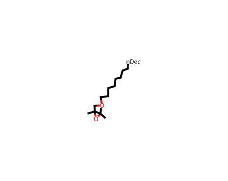 CCCCCCCCCCCCCCCCCCOCC1(C)OC1(C)C